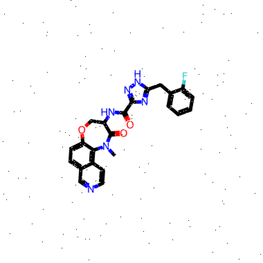 CN1C(=O)C(NC(=O)c2n[nH]c(Cc3ccccc3F)n2)COc2ccc3cnccc3c21